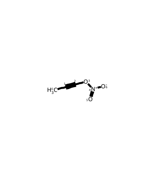 CC#CO[N+](=O)[O-]